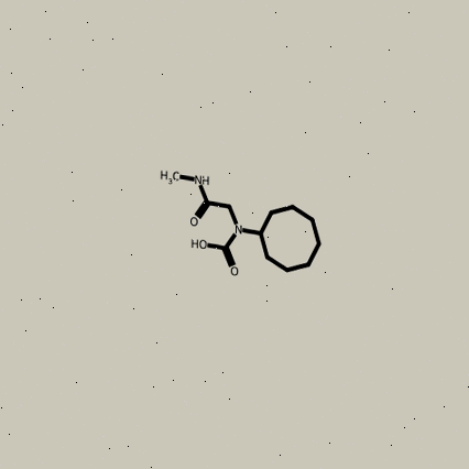 CNC(=O)CN(C(=O)O)C1CCCCCCC1